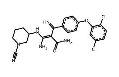 N#CN1CCCC(N/C(N)=C(\C(=N)c2ccc(Oc3cc(Cl)ccc3Cl)cc2)C(N)=O)C1